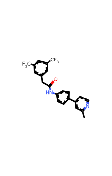 Cc1cc(-c2ccc(NC(=O)Cc3cc(C(F)(F)F)cc(C(F)(F)F)c3)cc2)ccn1